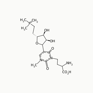 C=P(C)(C)CC[C@H]1OC(c2cn(C)c(=O)n(CCC(N)C(=O)O)c2=O)[C@H](O)[C@@H]1O